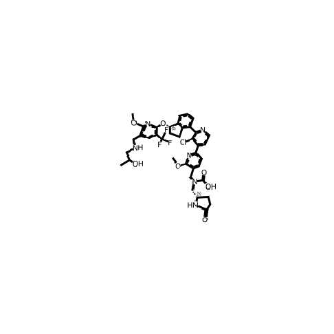 COc1nc(-c2ccnc(-c3cccc4c3CC[C@@H]4Oc3nc(OC)c(CNCC(C)O)cc3C(F)(F)F)c2Cl)ccc1CN(C[C@@H]1CCC(=O)N1)C(=O)O